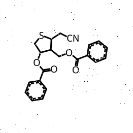 N#CCC1SCC(OC(=O)c2ccccc2)C1COC(=O)c1ccccc1